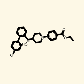 CCOC(=O)c1ccc(N2CCC([C@H](O)c3ccccc3-c3ccc(Cl)cc3)CC2)cc1